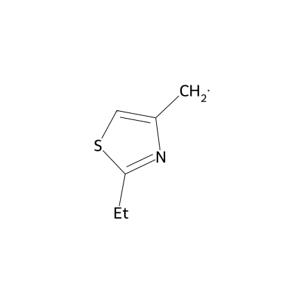 [CH2]c1csc(CC)n1